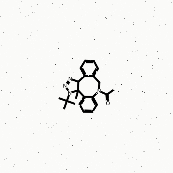 CC(=O)N1Cc2ccccc2C2N=NN(C(C)(C)C)C2(C)c2ccccc21